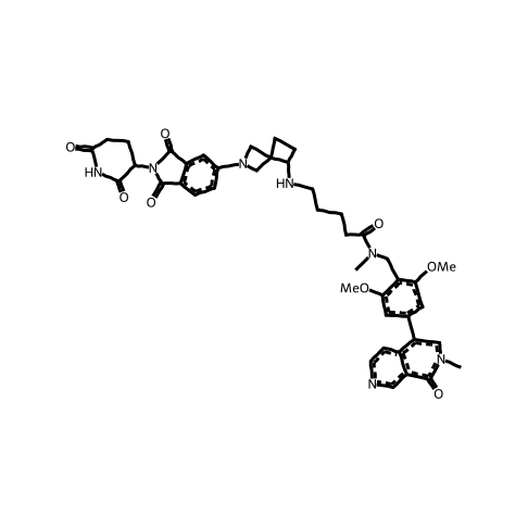 COc1cc(-c2cn(C)c(=O)c3cnccc23)cc(OC)c1CN(C)C(=O)CCCCNC1CCC12CN(c1ccc3c(c1)C(=O)N(C1CCC(=O)NC1=O)C3=O)C2